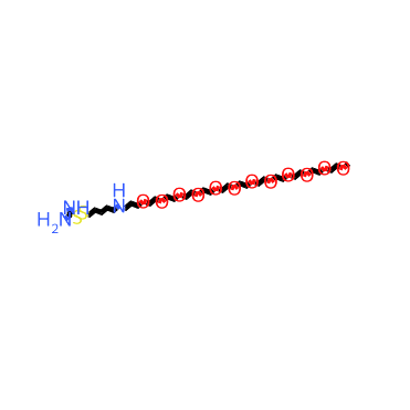 COCCOCCOCCOCCOCCOCCOCCOCCOCCOCCOCCOCCCNCCCCCSSC(=N)N